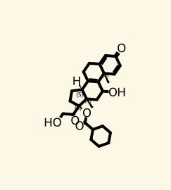 C[C@]12C=CC(=O)C=C1CCC1=C2C(O)C[C@@]2(C)[C@H]1CC[C@]2(OC(=O)C1CCCCC1)C(=O)CO